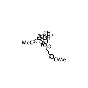 COCOc1ccc2c3c1O[C@H]1[C@@H](OC(=O)CCCc4ccc(OC)cc4)C=C[C@H]4[C@@H](C2)N(C)CC[C@@]341